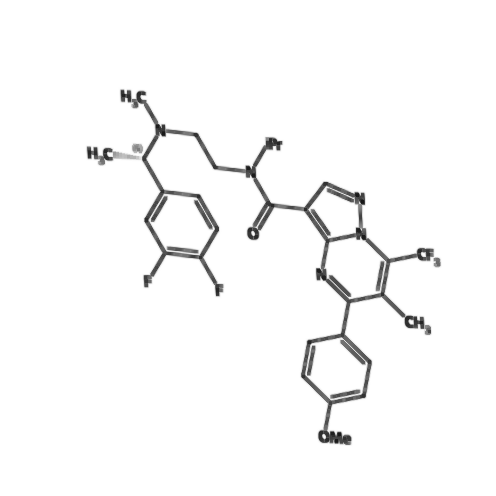 COc1ccc(-c2nc3c(C(=O)N(CCN(C)[C@@H](C)c4ccc(F)c(F)c4)C(C)C)cnn3c(C(F)(F)F)c2C)cc1